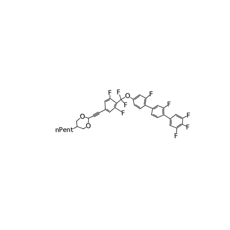 CCCCCC1COC(C#Cc2cc(F)c(C(F)(F)Oc3ccc(-c4ccc(-c5cc(F)c(F)c(F)c5)c(F)c4)c(F)c3)c(F)c2)OC1